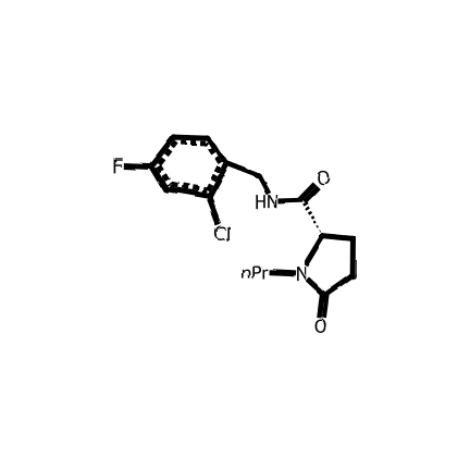 CCCN1C(=O)CC[C@H]1C(=O)NCc1ccc(F)cc1Cl